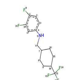 Fc1ccc(NCC2CCC(C(F)(F)F)CC2)cc1F